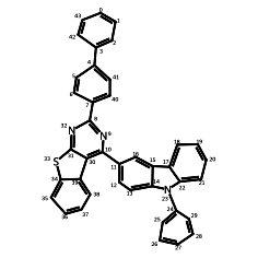 c1ccc(-c2ccc(-c3nc(-c4ccc5c(c4)c4ccccc4n5-c4ccccc4)c4c(n3)sc3ccccc34)cc2)cc1